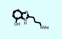 CNCCCc1nc2cccc(O)c2[nH]1